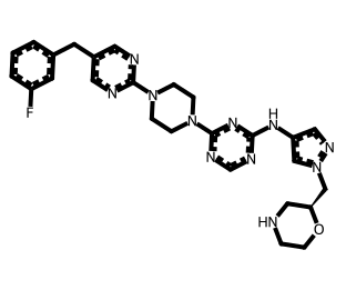 Fc1cccc(Cc2cnc(N3CCN(c4ncnc(Nc5cnn(C[C@@H]6CNCCO6)c5)n4)CC3)nc2)c1